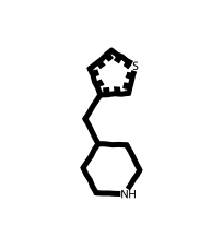 c1cc(CC2CCNCC2)cs1